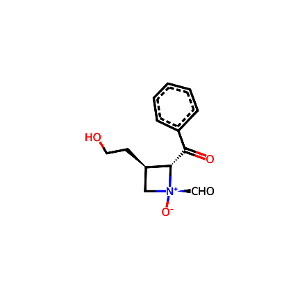 O=C[N@@+]1([O-])C[C@@H](CCO)[C@@H]1C(=O)c1ccccc1